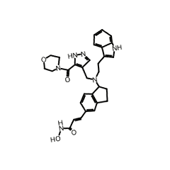 O=C(C=Cc1ccc2c(c1)CCC2N(CCc1c[nH]c2ccccc12)Cc1cn[nH]c1C(=O)N1CCOCC1)NO